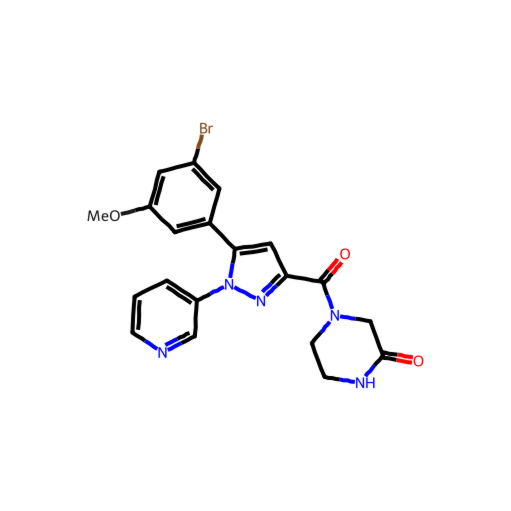 COc1cc(Br)cc(-c2cc(C(=O)N3CCNC(=O)C3)nn2-c2cccnc2)c1